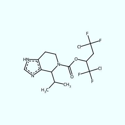 CC(C)C1c2nc[nH]c2CCN1C(=O)OC(CC(F)(F)Cl)C(F)(F)Cl